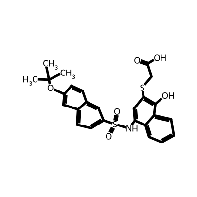 CC(C)(C)Oc1ccc2cc(S(=O)(=O)Nc3cc(SCC(=O)O)c(O)c4ccccc34)ccc2c1